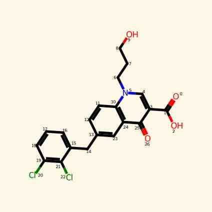 O=C(O)c1cn(CCCO)c2ccc(Cc3cccc(Cl)c3Cl)cc2c1=O